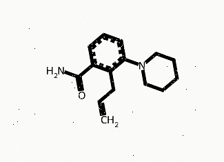 C=CCc1c(C(N)=O)cccc1N1CCCCC1